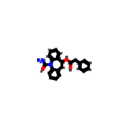 NC(=O)N1c2ccccc2CC(OC(=O)Cc2ccccc2)c2ccccc21